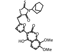 COc1ccc2c(O)c(-c3ccc(C=C4SC(=S)N(C5CC6CCC5C6)C4=O)o3)c(=O)oc2c1OC